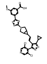 COc1cc(C(=O)O)cc(-c2nc(N3CC4C(C=Cc5c(-c6c(Cl)cncc6Cl)noc5C5CC5)C4C3)ns2)c1